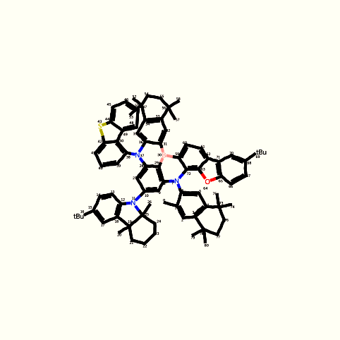 Cc1cc2c(cc1N1c3cc(N4c5ccc(C(C)(C)C)cc5C5(C)CCCCC45C)cc4c3B(c3cc5c(cc3N4c3cccc4sc6ccccc6c34)C(C)(C)CCC5(C)C)c3ccc4c(oc5ccc(C(C)(C)C)cc54)c31)C(C)(C)CCC2(C)C